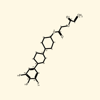 C=CC(=O)OCC(=O)OC1CCC(C2CCC(c3cc(F)c(F)c(F)c3)CC2)CC1